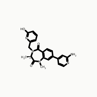 C[C@@H]1C(=O)N(C)c2cc(-c3ccnc(N)c3)ccc2C(=O)N1Cc1cccc(O)n1